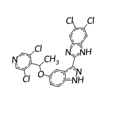 CC(Oc1ccc2[nH]nc(-c3nc4cc(Cl)c(Cl)cc4[nH]3)c2c1)c1c(Cl)cncc1Cl